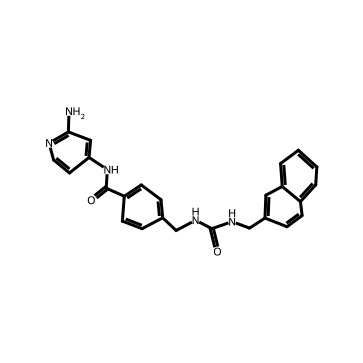 Nc1cc(NC(=O)c2ccc(CNC(=O)NCc3ccc4ccccc4c3)cc2)ccn1